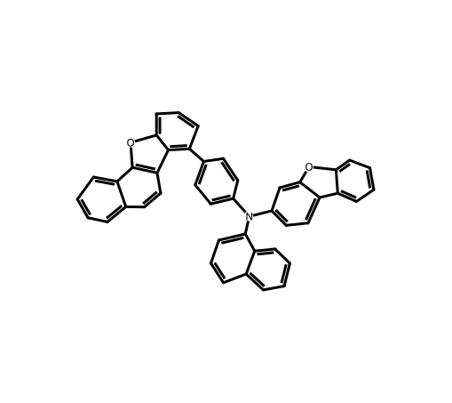 c1ccc2c(N(c3ccc(-c4cccc5oc6c7ccccc7ccc6c45)cc3)c3ccc4c(c3)oc3ccccc34)cccc2c1